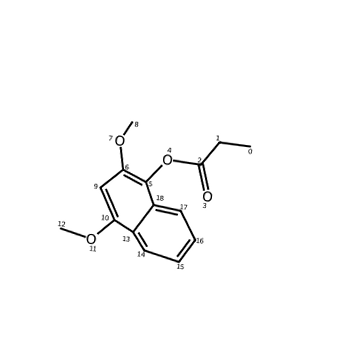 CCC(=O)Oc1c(OC)cc(OC)c2ccccc12